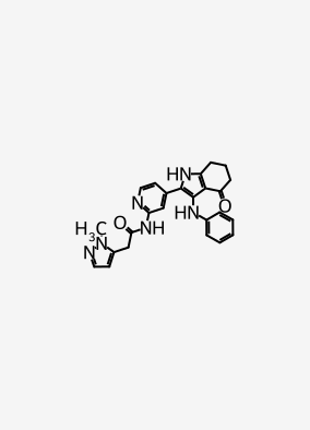 Cn1nccc1CC(=O)Nc1cc(-c2[nH]c3c(c2Nc2ccccc2)C(=O)CCC3)ccn1